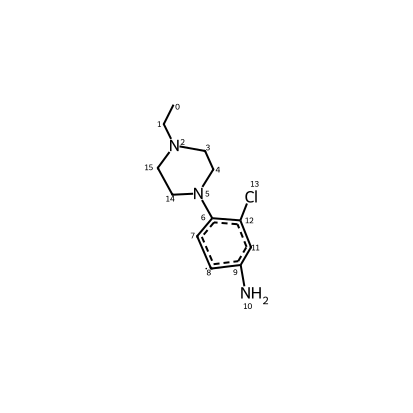 CCN1CCN(c2c[c]c(N)cc2Cl)CC1